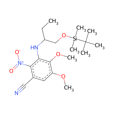 CCC(CO[Si](C)(C)C(C)(C)C)Nc1c(OC)c(OC)cc(C#N)c1[N+](=O)[O-]